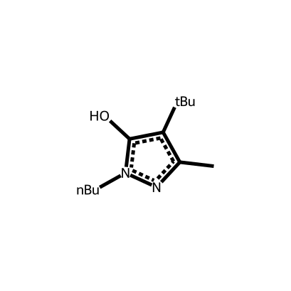 CCCCn1nc(C)c(C(C)(C)C)c1O